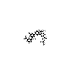 COC(=O)COC(=O)[C@H]1CC[C@H](C(C)(O)c2ccc(-c3cc(C)cc(Nc4cc(C(F)F)ccn4)n3)cn2)CC1